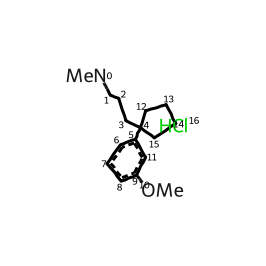 CNCCCC1(c2cccc(OC)c2)CCCC1.Cl